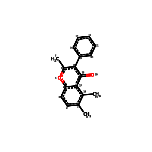 Cc1ccc2oc(C)c(-c3ccccc3)c(=O)c2c1C